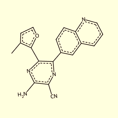 Cc1ccoc1-c1nc(N)c(C#N)nc1-c1ccc2ncccc2c1